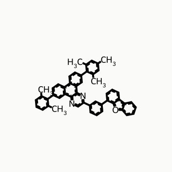 Cc1cc(C)c(-c2ccc3c4ccc(-c5c(C)cccc5C)cc4c4ncc(-c5cccc(-c6cccc7c6oc6ccccc67)c5)nc4c3c2)c(C)c1